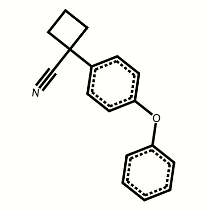 N#CC1(c2ccc(Oc3ccccc3)cc2)CCC1